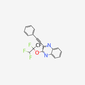 FC(F)C(F)(Oc1nc2ccccc2nc1C#Cc1ccccc1)C(F)(F)F